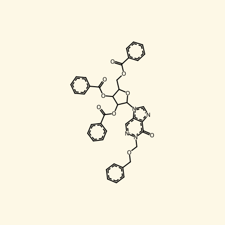 O=C(OCC1OC(n2cnc3c(=O)n(COCc4ccccc4)ncc32)C(OC(=O)c2ccccc2)C1OC(=O)c1ccccc1)c1ccccc1